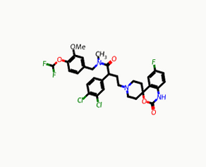 COc1cc(CN(C)C(=O)C(CCN2CCC3(CC2)OC(=O)Nc2ccc(F)cc23)c2ccc(Cl)c(Cl)c2)ccc1OC(F)F